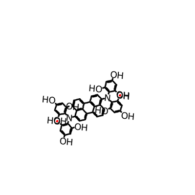 Oc1cc(O)c(N(c2c(O)cc(O)cc2O)c2ccc3c4cccc5c(N(c6c(O)cc(O)cc6O)c6c(O)cc(O)cc6O)ccc(c6cccc2c63)c54)c(O)c1